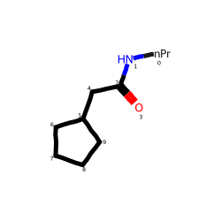 CCCNC(=O)CC1CCCC1